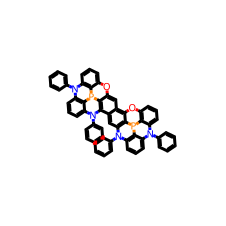 c1ccc(-n2c3cccc4oc5c6cc7oc8cccc9c8p8c%10c(cccc%10n(-c%10ccccc%10)c(c6cc6c5p(c43)c3c2cccc3n6-c2ccccc2)c78)n9-c2ccccc2)cc1